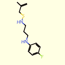 C=C(C)CSNCCCNc1ccc(F)cc1